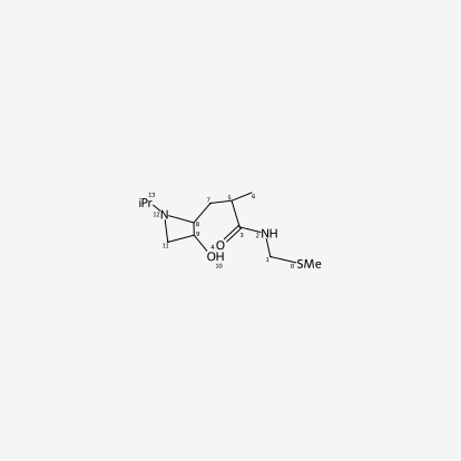 CSCNC(=O)C(C)CC1C(O)CN1C(C)C